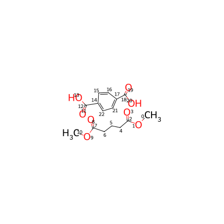 COC(=O)CCCC(=O)OC.O=C(O)c1ccc(C(=O)O)cc1